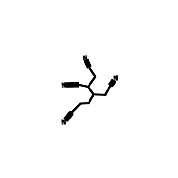 N#CCCC(CC#N)C(C#N)CC#N